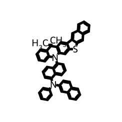 CC1(C)c2ccccc2N(c2cccc3c(N(c4ccccc4)c4ccc5ccccc5c4)cccc23)c2cc3sc4cc5ccccc5cc4c3cc21